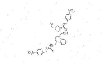 CC(=O)S[C@H]1C[C@@H](C(O)c2ccc(CNC(=O)OCc3ccc([N+](=O)[O-])cc3)c3ccccc23)N(C(=O)OCc2ccc([N+](=O)[O-])cc2)C1